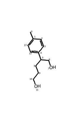 Cc1ccc(C(CO)CCCO)cc1